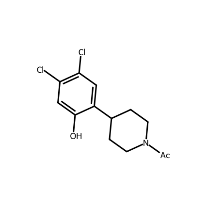 CC(=O)N1CCC(c2cc(Cl)c(Cl)cc2O)CC1